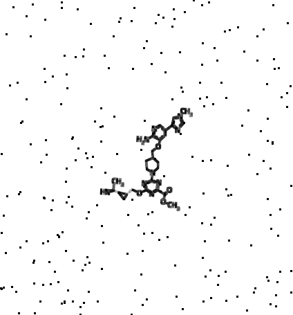 COC(=O)c1nc(OC[C@@H]2C[C@@H]2C(C)=N)nc(N2CCC(COc3cc(-c4cn(C)cn4)cnc3N)CC2)n1